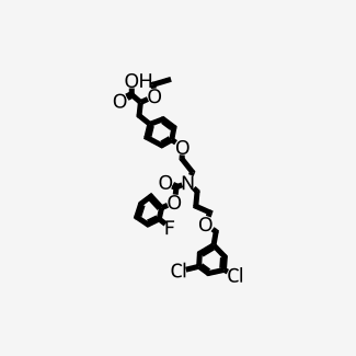 CCOC(Cc1ccc(OCCN(CCCOCc2cc(Cl)cc(Cl)c2)C(=O)Oc2ccccc2F)cc1)C(=O)O